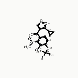 C[S+]([O-])c1c(C(=O)c2cnoc2C2CC2)ccc(OC(F)(F)F)c1Cl